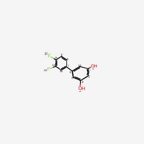 Oc1cc(O)cc(-c2ccc(F)c(F)c2)c1